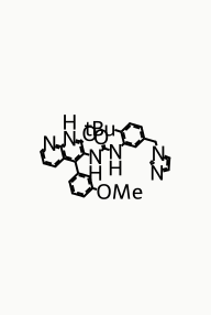 COc1cccc(-c2c(NC(=O)Nc3cc(Cn4ccnc4)ccc3C(C)(C)C)c(=O)[nH]c3ncccc23)c1